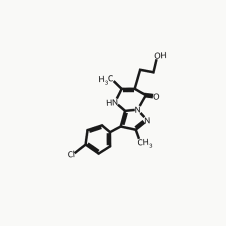 Cc1nn2c(=O)c(CCO)c(C)[nH]c2c1-c1ccc(Cl)cc1